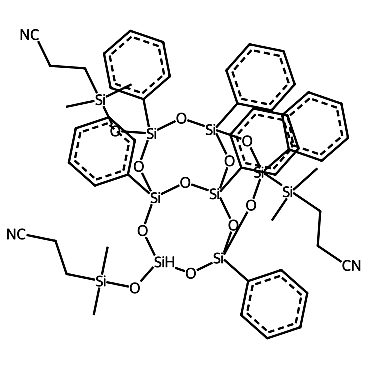 C[Si](C)(CCC#N)O[SiH]1O[Si]2(c3ccccc3)O[Si](O[Si](C)(C)CCC#N)(c3ccccc3)O[Si]3(c4ccccc4)O[Si](c4ccccc4)(O2)O[Si](c2ccccc2)(O1)O[Si](c1ccccc1)([Si](C)(C)CCC#N)O3